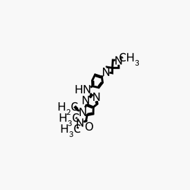 C=Cn1c(C(=O)N(C)C)cc2cnc(Nc3ccc(N4CC5(CN(C)C5)C4)cc3)nc21